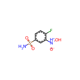 NS(=O)(=O)c1ccc(F)c([NH+]([O-])O)c1